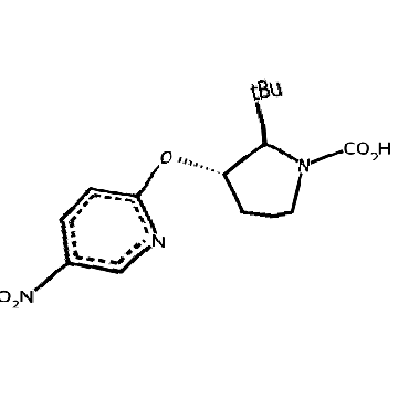 CC(C)(C)C1[C@@H](Oc2ccc([N+](=O)[O-])cn2)CCN1C(=O)O